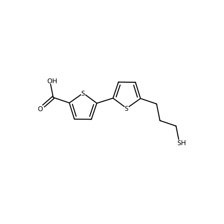 O=C(O)c1ccc(-c2ccc(CCCS)s2)s1